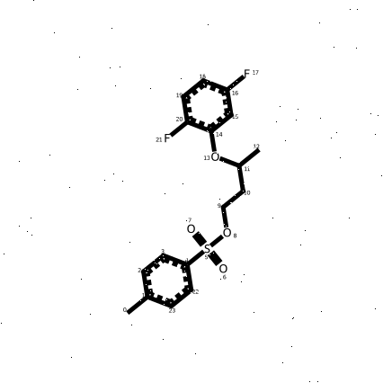 Cc1ccc(S(=O)(=O)OCCC(C)Oc2cc(F)ccc2F)cc1